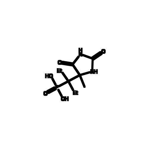 CCC(CC)(C1(C)NC(=O)NC1=O)P(=O)(O)O